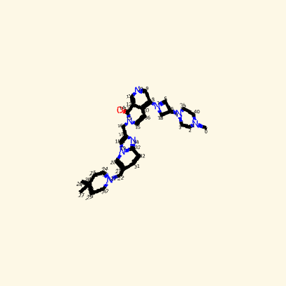 CN1CCN(C2CN(c3cncc4c(=O)n(Cc5cn6cc(CN7CCC(C)(C)CC7)ccc6n5)ccc34)C2)CC1